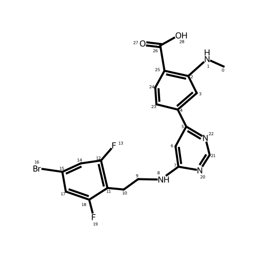 CNc1cc(-c2cc(NCCc3c(F)cc(Br)cc3F)ncn2)ccc1C(=O)O